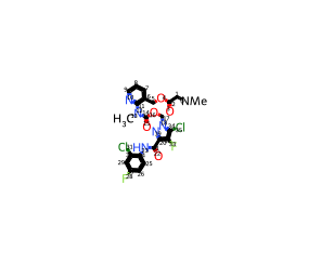 CNCC(=O)OCc1cccnc1N(C)C(=O)OCn1nc(C(=O)Nc2ccc(F)cc2Cl)c(F)c1Cl